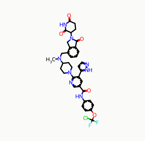 CN(Cc1cccc2c1CN(C1CCC(=O)NC1=O)C2=O)C1CCN(c2ncc(C(=O)Nc3ccc(OC(F)(F)Cl)cc3)cc2-c2ccn[nH]2)CC1